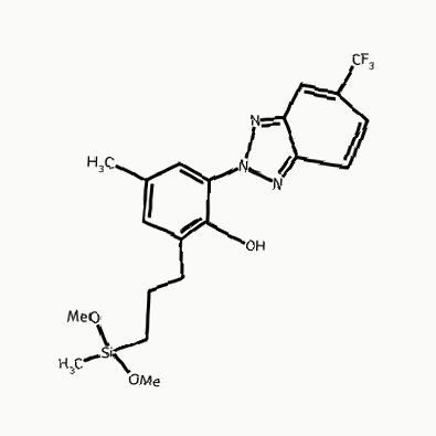 CO[Si](C)(CCCc1cc(C)cc(-n2nc3ccc(C(F)(F)F)cc3n2)c1O)OC